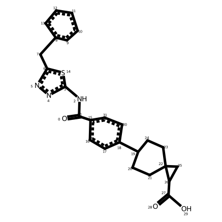 O=C(Nc1nnc(Cc2ccccc2)s1)c1ccc(C2CCC3(CC2)CC3C(=O)O)cc1